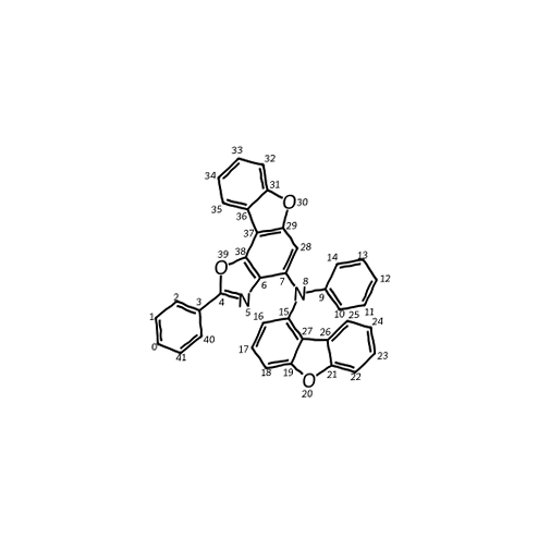 c1ccc(-c2nc3c(N(c4ccccc4)c4cccc5oc6ccccc6c45)cc4oc5ccccc5c4c3o2)cc1